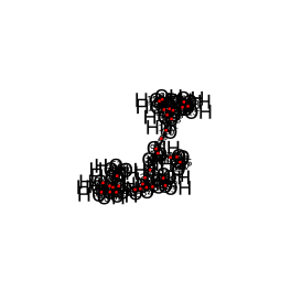 O=C(CCCCCNC(=O)CC[C@H](NC(=O)CCCCC(=O)ON1C(=O)CCC1=O)C(=O)NCCCCCC(=O)NC(CCC(=O)NCCO[C@H]1O[C@H](CO[C@H]2O[C@H](CO)[C@@H](O)[C@H](O)[C@@H]2O)[C@@H](O)[C@H](O[C@H]2O[C@H](CO)[C@@H](O)[C@H](O)[C@@H]2O)[C@@H]1O)C(=O)NCCO[C@H]1O[C@H](CO)[C@@H](O)[C@H](O)[C@@H]1O)NCCO[C@H]1O[C@H](CO[C@H]2O[C@H](CO)[C@@H](O)[C@H](O)[C@@H]2O)[C@@H](O)[C@H](O[C@H]2O[C@H](CO)[C@@H](O)[C@H](O)[C@@H]2O)[C@@H]1O